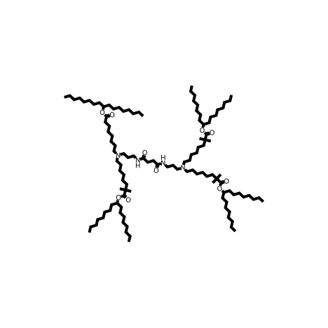 CCCCCCCCC(CCCCCCCC)OC(=O)CCCCCCCN(CCCCCCC(C)(C)C(=O)OC(CCCCCCCC)CCCCCCCC)CCCNC(=O)CCC(=O)NCCCN(CCCCCCC(C)(C)C(=O)OC(CCCCCCCC)CCCCCCCC)CCCCCCC(C)(C)C(=O)OC(CCCCCCCC)CCCCCCCC